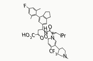 Cc1cc(F)cc(C)c1-c1cc(C(CC(=O)C(=O)O)NC(=O)[C@@H](CC(C)C)n2cc(C3CCN(C)CC3)c(C(F)(F)F)cc2=O)cc2c1CCC2